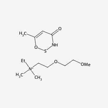 CC1=CC(=O)NSO1.CC[N+](C)(C)CCOCCOC